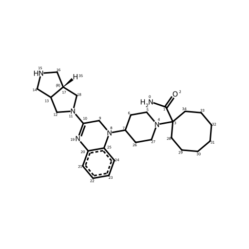 NC(=O)C1(N2CCC(N3CC(N4CC5CNC[C@@H]5C4)=Nc4ccccc43)CC2)CCCCCCC1